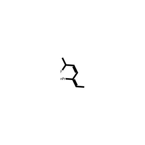 C/C=C(\C=C/C(C)F)CCC